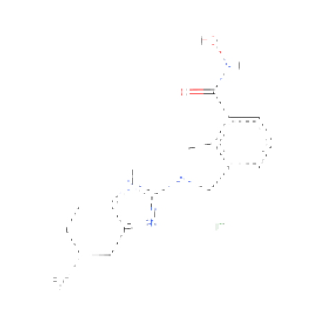 Cl.O=C(NO)c1cccc2c1CN(c1nc3c([nH]1)CC[C@@H](C(F)(F)F)C3)C2